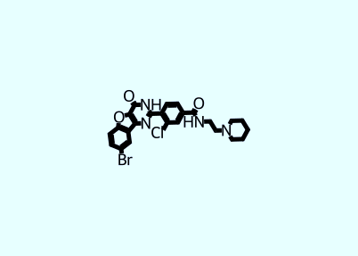 O=C(NCCN1CCCCC1)c1ccc(-c2nc3c(oc4ccc(Br)cc43)c(=O)[nH]2)c(Cl)c1